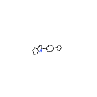 Cc1ccc(-c2ccc(-c3ccc4ccccc4n3)cc2)cc1